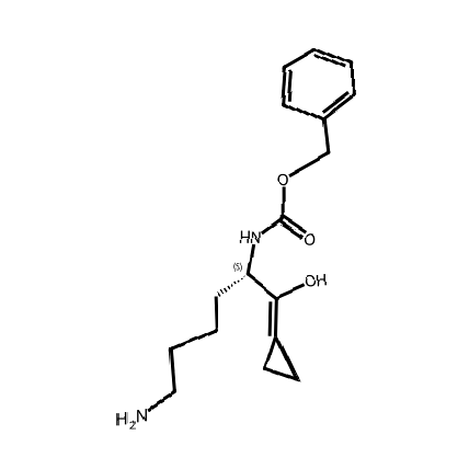 NCCCC[C@H](NC(=O)OCc1ccccc1)C(O)=C1CC1